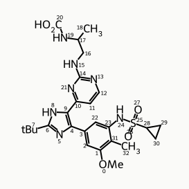 COc1cc(-c2nc(C(C)(C)C)[nH]c2-c2ccnc(NCC(C)NC(=O)O)n2)cc(NS(=O)(=O)C2CC2)c1C